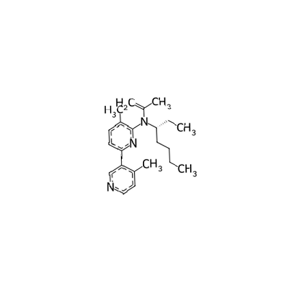 C=C(C)N(c1nc(-c2cnccc2C)ccc1C)[C@H](CC)CCCC